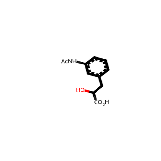 CC(=O)Nc1cccc(CC(O)C(=O)O)c1